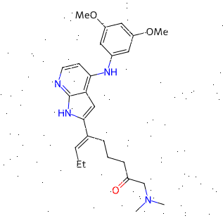 CC/C=C(\CCCC(=O)CN(C)C)c1cc2c(Nc3cc(OC)cc(OC)c3)ccnc2[nH]1